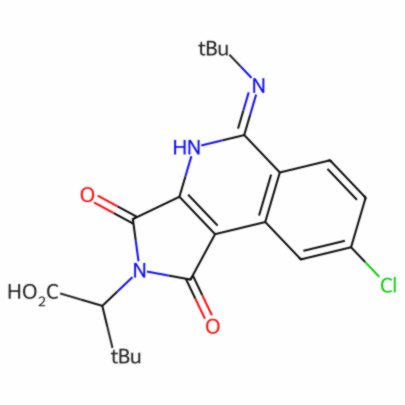 CC(C)(C)N=c1[nH]c2c(c3cc(Cl)ccc13)C(=O)N(C(C(=O)O)C(C)(C)C)C2=O